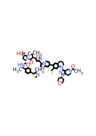 CC(=O)N1CCc2c(c(N3CCCc4cc(-c5ccn6c(-c7cc(C(C(=O)N8C[C@H](O)C[C@H]8C(=O)N[C@@H](C)c8ccc(-c9scnc9C)cc8)C(C)C)on7)cnc6c5)c(C(F)F)cc43)nn2C2CCOCC2)C1